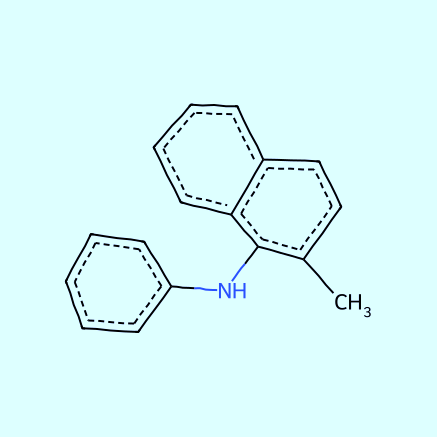 Cc1ccc2ccccc2c1Nc1ccccc1